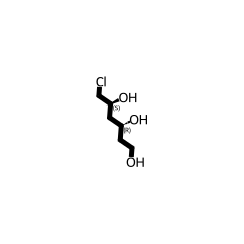 OCC[C@@H](O)C[C@H](O)CCl